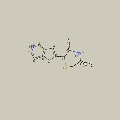 C=C1CSC(C2=Cc3cnccc3C2)C(=O)N1